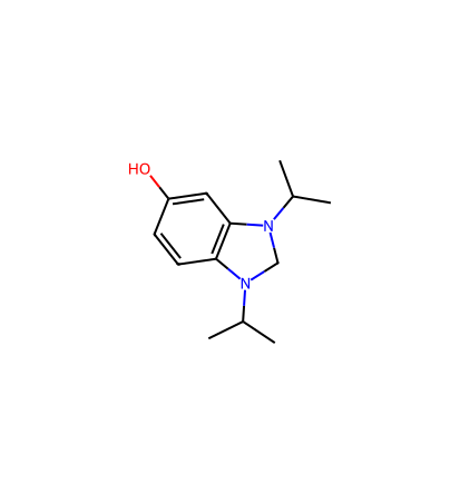 CC(C)N1CN(C(C)C)c2cc(O)ccc21